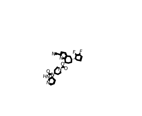 N#Cc1ccc2c(n1)[C@H](OC(=O)N1CCC(n3c(=O)[nH]c4ncccc43)CC1)CC[C@@H](C1CC=CC(F)=C1F)C2